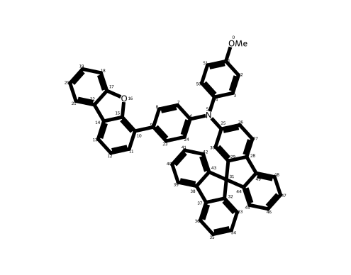 COc1ccc(N(c2ccc(-c3cccc4c3oc3ccccc34)cc2)c2ccc3c(c2)C2(c4ccccc4-c4ccccc42)c2ccccc2-3)cc1